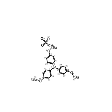 CC(C)(C)Oc1ccc([S+](c2ccc(OC(C)(C)C)cc2)c2ccc(OC(C)(C)C)cc2)cc1.CS(=O)(=O)[O-]